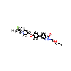 COCCNC(=O)c1ccc(-c2ccc(OCC3CCN(CC(C)(C)F)CC3)cc2)cc1